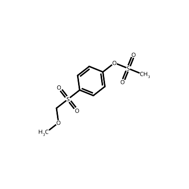 COCS(=O)(=O)c1ccc(OS(C)(=O)=O)cc1